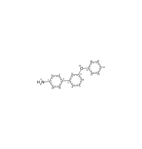 Nc1ccc(-c2cccc(Oc3ccccc3)c2)cc1